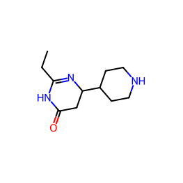 CCC1=NC(C2CCNCC2)CC(=O)N1